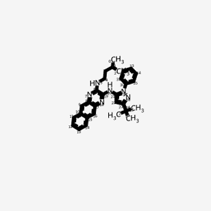 CC(C)CCNc1nc2cc3ccccc3cc2nc1Nc1cc(C(C)(C)C)nn1-c1ccccc1